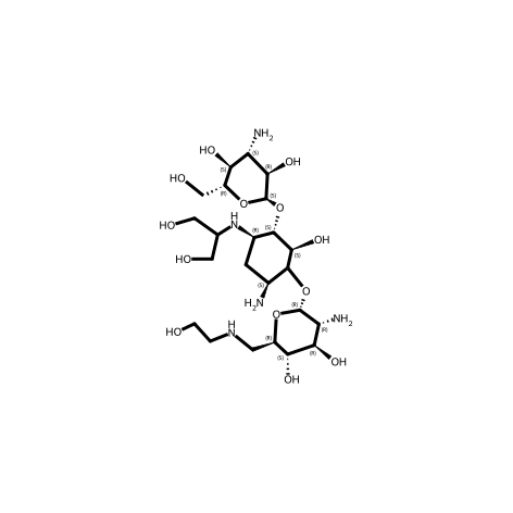 N[C@@H]1[C@@H](O)[C@@H](O[C@H]2[C@H](NC(CO)CO)C[C@H](N)C(O[C@H]3O[C@H](CNCCO)[C@@H](O)[C@H](O)[C@H]3N)[C@@H]2O)O[C@H](CO)[C@H]1O